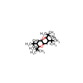 CC(C)(C)C1CC2OC(C(C)(C)C)C(C(C)(C)C)CC2OC1C(C)(C)C